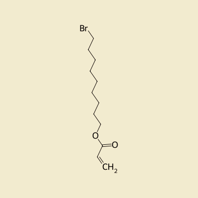 C=CC(=O)OCCCCCCCCCBr